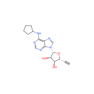 C#C[C@H]1O[C@@H](n2cnc3c(NC4CCCC4)ncnc32)[C@H](O)[C@@H]1O